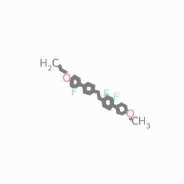 C=CCCOc1ccc(-c2ccc(CCc3ccc(C4=CCC(OCC)CC4)c(F)c3F)cc2)c(F)c1